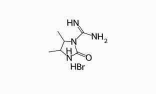 Br.CC1NC(=O)N(C(=N)N)C1C